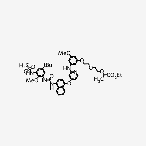 CCOC(=O)C(C)OCCOCCOc1cc(Nc2cc(Oc3ccc(NC(=O)Nc4cc(C(C)(C)C)cc(NS(C)(=O)=O)c4OC)c4ccccc34)ccn2)cc(OC)c1